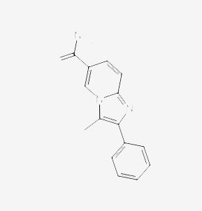 Cc1c(-c2ccccc2)nc2ccc(C(N)=O)cn12